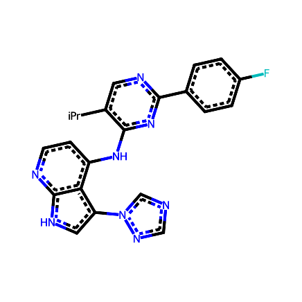 CC(C)c1cnc(-c2ccc(F)cc2)nc1Nc1ccnc2[nH]cc(-n3cncn3)c12